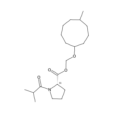 CC1CCCCC(OCOC(=O)[C@@H]2CCCN2C(=O)C(C)C)CCC1